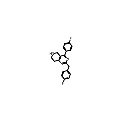 Fc1ccc(Cc2nc3c(c(-c4ccc(F)cc4)n2)CNCC3)cc1